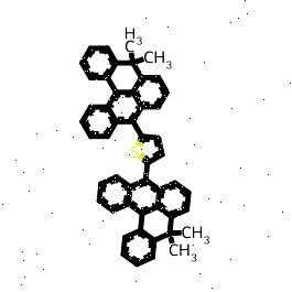 CC1(C)c2ccccc2-c2c3ccccc3c(-c3ccc(-c4c5ccccc5c5c6c(cccc46)C(C)(C)c4ccccc4-5)s3)c3cccc1c23